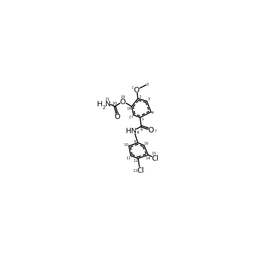 COc1ccc(C(=O)Nc2ccc(Cl)c(Cl)c2)cc1OC(N)=O